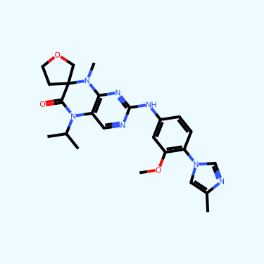 COc1cc(Nc2ncc3c(n2)N(C)C2(CCOC2)C(=O)N3C(C)C)ccc1-n1cnc(C)c1